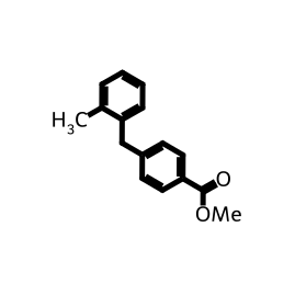 COC(=O)c1ccc(Cc2ccccc2C)cc1